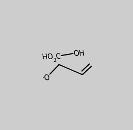 C=CC[O].O=C(O)O